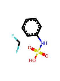 FCF.O=S(=O)(O)Nc1ccccc1